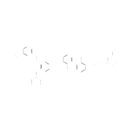 Cc1c(COc2cc(OCc3cncc(C#N)c3)c(CN3CCCC[C@H]3C(=O)O)cc2Cl)cccc1-c1cccc(OCCCN2CCCC(O)C2)c1C